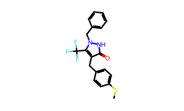 CSc1ccc(Cc2c(C(F)(F)F)n(Cc3ccccc3)[nH]c2=O)cc1